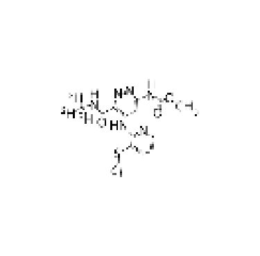 [2H]C([2H])([2H])NC(=O)c1nnc(NC(=O)OC)cc1Nc1ncccc1SC1CC1